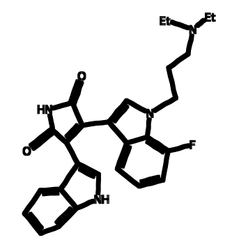 CCN(CC)CCCn1cc(C2=C(c3c[nH]c4ccccc34)C(=O)NC2=O)c2cccc(F)c21